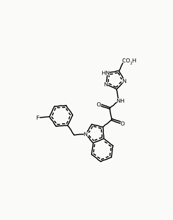 O=C(Nc1n[nH]c(C(=O)O)n1)C(=O)c1cn(Cc2cccc(F)c2)c2ccccc12